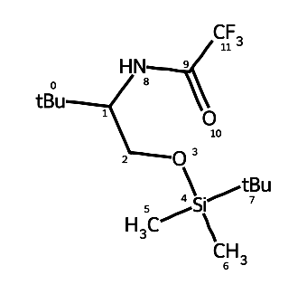 CC(C)(C)C(CO[Si](C)(C)C(C)(C)C)NC(=O)C(F)(F)F